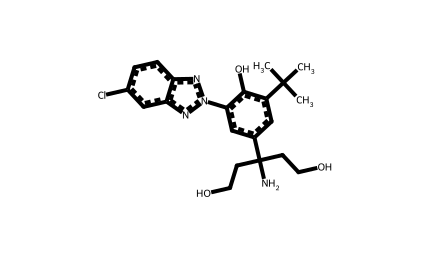 CC(C)(C)c1cc(C(N)(CCO)CCO)cc(-n2nc3ccc(Cl)cc3n2)c1O